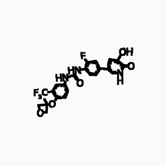 CC1(Oc2ccc(NC(=O)Nc3ccc(-c4c[nH]c(=O)c(O)c4)cc3F)cc2C(F)(F)F)COC1